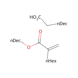 C=C(CCCCCC)C(=O)OCCCCCCCCCC.CCCCCCCCCCCC(=O)O